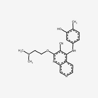 Cc1ccc(Nc2c(C#N)c(OCCN(C)C)nc3cnccc23)cc1O